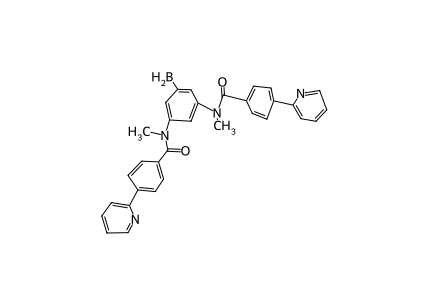 Bc1cc(N(C)C(=O)c2ccc(-c3ccccn3)cc2)cc(N(C)C(=O)c2ccc(-c3ccccn3)cc2)c1